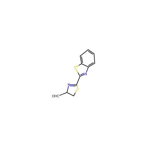 O=CC1CSC(c2nc3ccccc3s2)=N1